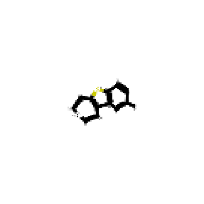 Cc1c#cc2sc3c(c2c1)C=CCC=C3